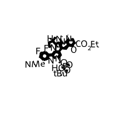 CCOC(=O)c1cn(C)c2ncc(-c3cn(COP(=O)(O)OC(C)(C)C)c4nc5c(NC)cc(F)c(F)c5c-4c3N3CC[C@@H]4CN(C)C[C@@H]43)cc2c1=O